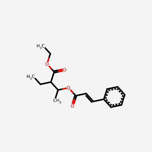 CCOC(=O)C(CC)C(C)OC(=O)C=Cc1ccccc1